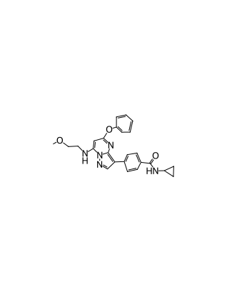 COCCNc1cc(Oc2ccccc2)nc2c(-c3ccc(C(=O)NC4CC4)cc3)cnn12